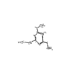 BCc1nc(SC)nc(SC)n1